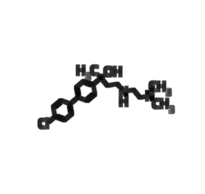 CN(C)CCNCCC(C)(O)c1ccc(-c2ccc(Cl)cc2)cc1